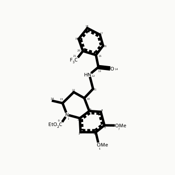 CCOC(=O)N1c2cc(OC)c(OC)cc2C(CNC(=O)c2ccccc2C(F)(F)F)CC1C